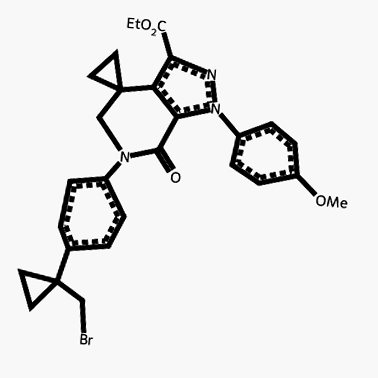 CCOC(=O)c1nn(-c2ccc(OC)cc2)c2c1C1(CC1)CN(c1ccc(C3(CBr)CC3)cc1)C2=O